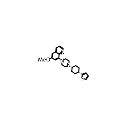 COc1cc(N2CCN([C@H]3CC[C@@H](c4cccs4)CC3)CC2)c2ncccc2c1